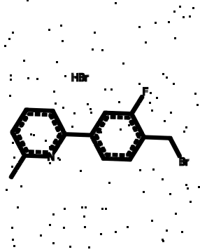 Br.Cc1cccc(-c2ccc(CBr)c(F)c2)n1